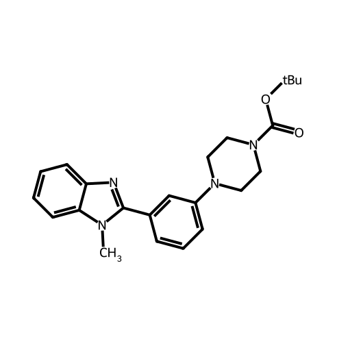 Cn1c(-c2cccc(N3CCN(C(=O)OC(C)(C)C)CC3)c2)nc2ccccc21